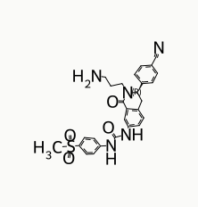 CS(=O)(=O)c1ccc(NC(=O)Nc2ccc3c(c2)C(=O)N(CCCN)[C@@H](c2ccc(C#N)cc2)C3)cc1